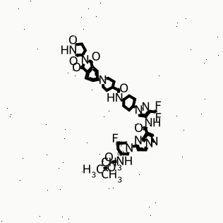 CC(C)(C)OC(=O)N[C@@H]1C[C@@H](F)CN(c2ccn3ncc(C(=O)Nc4cn(C5CCC(NC(=O)C6CCN(c7ccc8c(c7)C(=O)N(C7CCC(=O)NC7=O)C8=O)CC6)CC5)nc4C(F)F)c3n2)C1